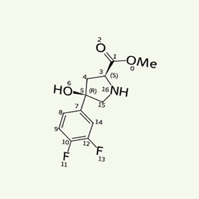 COC(=O)[C@@H]1C[C@@](O)(c2ccc(F)c(F)c2)CN1